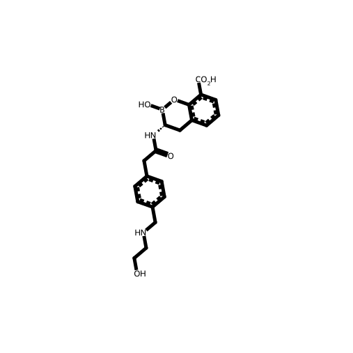 O=C(Cc1ccc(CNCCO)cc1)N[C@H]1Cc2cccc(C(=O)O)c2OB1O